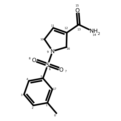 Cc1cccc(S(=O)(=O)N2CC=C(C(N)=O)C2)c1